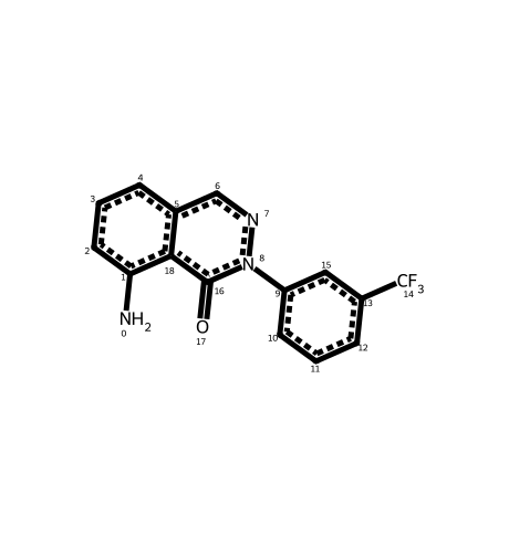 Nc1cccc2cnn(-c3cccc(C(F)(F)F)c3)c(=O)c12